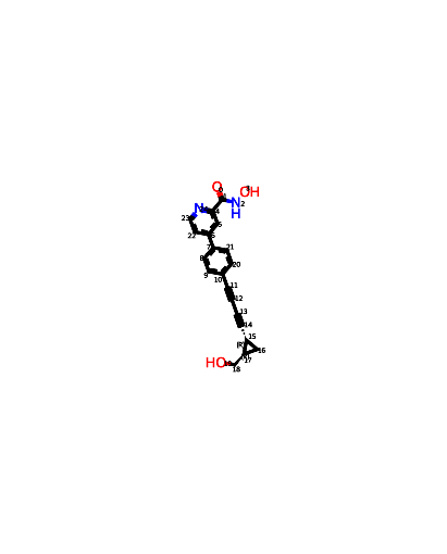 O=C(NO)c1cc(-c2ccc(C#CC#C[C@@H]3C[C@H]3CO)cc2)ccn1